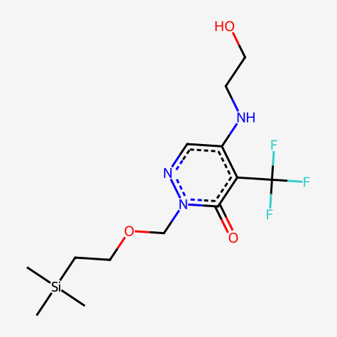 C[Si](C)(C)CCOCn1ncc(NCCO)c(C(F)(F)F)c1=O